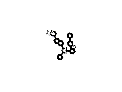 C/C=C\C(=C/C)c1ccc2cc(-c3nc(-c4ccccc4)nc(-c4cccc5oc6cc(-c7ccccc7)ccc6c45)n3)ccc2c1